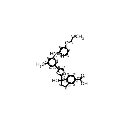 CCCOc1ccnc(Nc2cc(C)cc(-c3cnc(C4(O)CCc5cc(C(=O)O)ccc54)s3)n2)c1